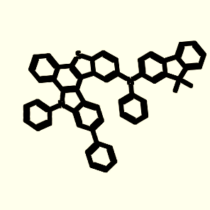 CC1(C)c2ccccc2-c2ccc(N(C3=CC4c5c(c6ccccc6c6c5c5ccc(-c7ccccc7)cc5n6-c5ccccc5)SC4C=C3)c3ccccc3)cc21